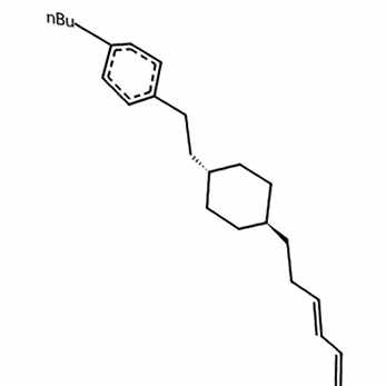 CCCCc1ccc(CC[C@H]2CC[C@H](CC/C=C/C=C(\F)C#N)CC2)cc1